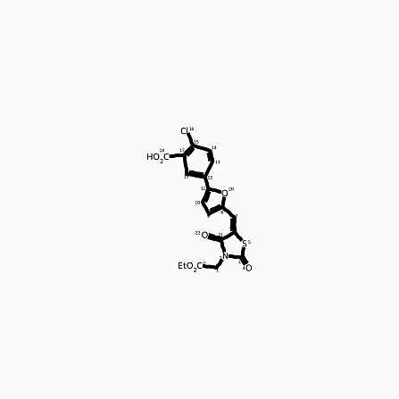 CCOC(=O)CN1C(=O)SC(=Cc2ccc(-c3ccc(Cl)c(C(=O)O)c3)o2)C1=O